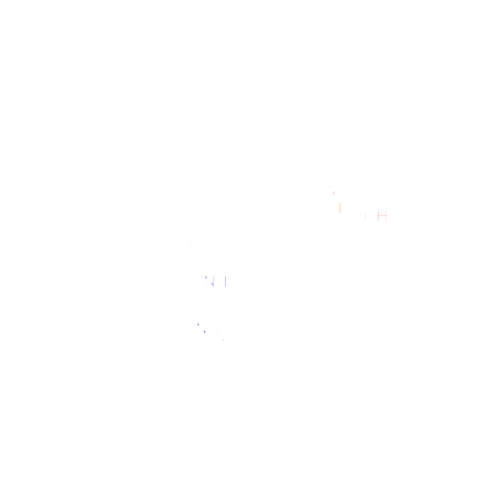 Nc1ccc(-c2cccs2)cc1NC(=O)c1ccc(C2CO[PH](O)(c3ccccc3)OC2)cc1